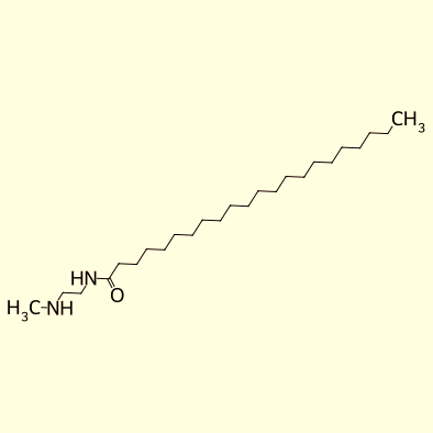 CCCCCCCCCCCCCCCCCCCCCC(=O)NCCNC